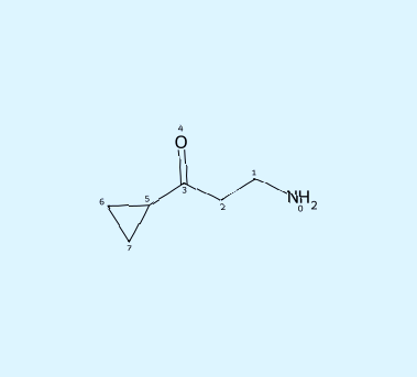 NCCC(=O)C1CC1